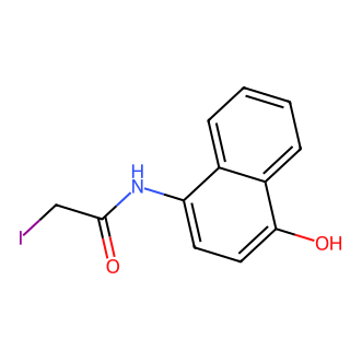 O=C(CI)Nc1ccc(O)c2ccccc12